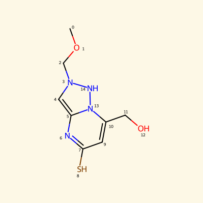 COCN1C=C2N=C(S)C=C(CO)N2N1